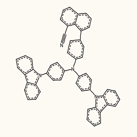 N#Cc1cccc2cccc(-c3ccc(N(c4ccc(-n5c6ccccc6c6ccccc65)cc4)c4ccc(-n5c6ccccc6c6ccccc65)cc4)cc3)c12